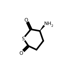 N[C@H]1CCC(=O)SC1=O